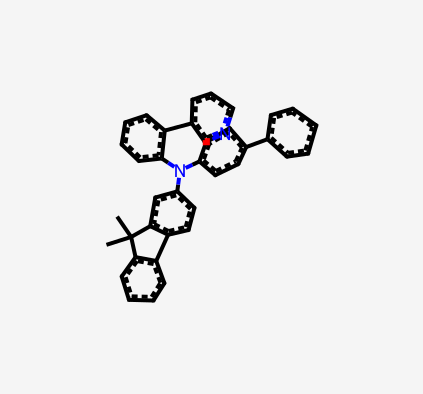 CC1(C)c2ccccc2-c2ccc(N(c3ccc(-c4ccccc4)cc3)c3ccccc3-c3cccnc3)cc21